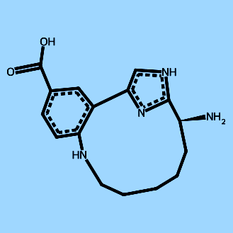 N[C@H]1CCCCCNc2ccc(C(=O)O)cc2-c2c[nH]c1n2